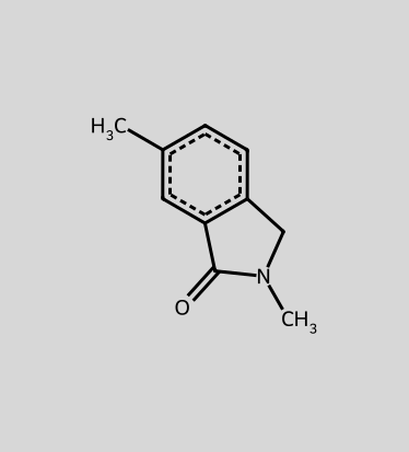 Cc1ccc2c(c1)C(=O)N(C)C2